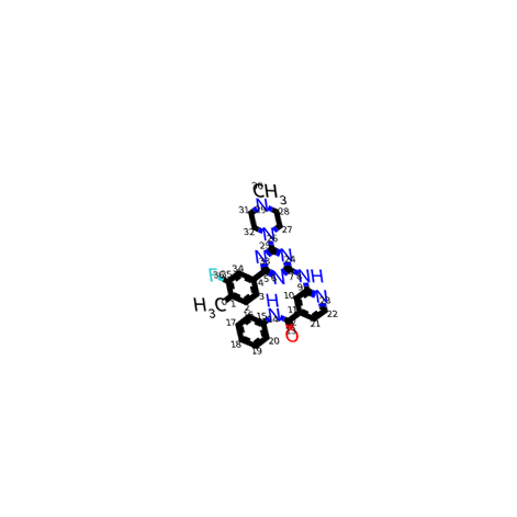 Cc1ccc(-c2nc(Nc3cc(C(=O)Nc4ccccc4)ccn3)nc(N3CCN(C)CC3)n2)cc1F